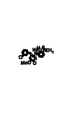 COc1cn(CC2=CC=CC(Cl)C2)c(Nc2cccc(N(C)C)c2C)nc1=O